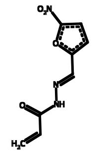 C=CC(=O)NN=Cc1ccc([N+](=O)[O-])o1